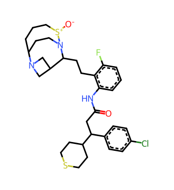 O=C(CC(c1ccc(Cl)cc1)C1CCSCC1)Nc1cccc(F)c1CCC1C2CN(C2)C2CCC[S+]([O-])N1CC2